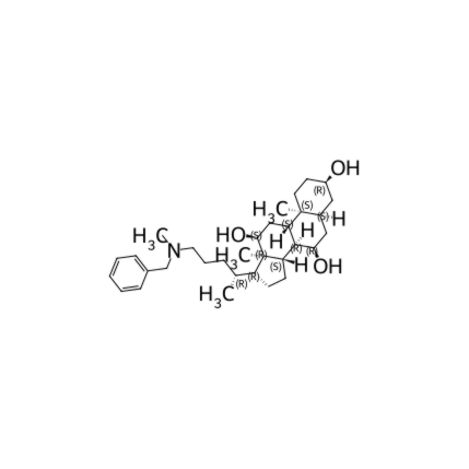 C[C@H](CCCN(C)Cc1ccccc1)[C@H]1CC[C@H]2[C@@H]3[C@H](O)C[C@@H]4C[C@H](O)CC[C@]4(C)[C@H]3C[C@H](O)[C@]12C